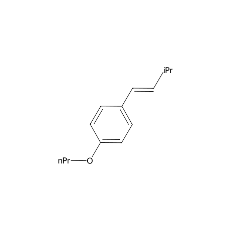 CCCOc1ccc(/C=C/C(C)C)cc1